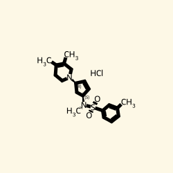 CC1=C(C)CN([C@H]2C=C[C@@H](N(C)S(=O)(=O)c3cccc(C)c3)C2)CC1.Cl